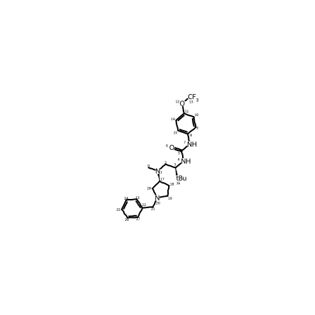 CN(C[C@@H](NC(=O)Nc1ccc(OC(F)(F)F)cc1)C(C)(C)C)[C@H]1CCN(Cc2ccccc2)C1